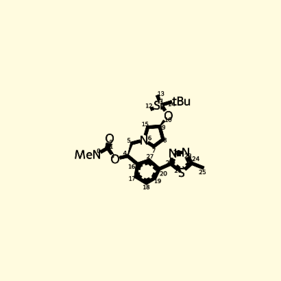 CNC(=O)O[C@@H](CN1CC[C@H](O[Si](C)(C)C(C)(C)C)C1)c1cccc(-c2nnc(C)s2)c1